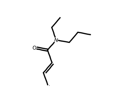 [CH2]C=CC(=O)N(CC)CCC